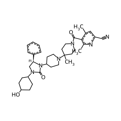 Cc1cc(C#N)nc(C)c1C(=O)N1CCC(C)(N2CCC(N3C(=O)N(C4CCC(O)CC4)C[C@H]3c3ccccc3)CC2)CC1